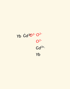 [Gd+3].[Gd+3].[O-2].[O-2].[O-2].[Yb].[Yb]